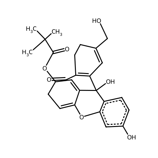 CC(C)(C)C(=O)OC1C=C2C(=CC1)Oc1cc(O)ccc1C2(O)C1=C(C=O)CCC(CO)=C1